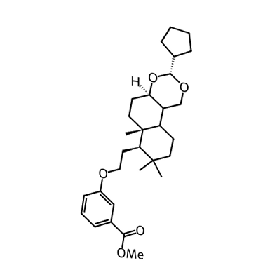 COC(=O)c1cccc(OCC[C@@H]2C(C)(C)CCC3C4CO[C@@H](C5CCCC5)O[C@@H]4CC[C@]32C)c1